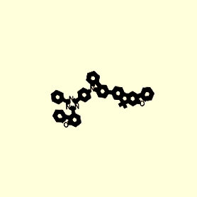 CC1(C)c2cc(-c3ccc4c(c3)c3ccccc3n4-c3ccc(-c4nc(-c5ccccc5)nc(-c5cccc6oc7ccccc7c56)n4)cc3)ccc2-c2cc3c(cc21)oc1ccccc13